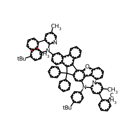 Cc1cnc(N(c2ccc(C(C)(C)C)cc2)c2ccc3c4c(c5ccccc5c3c2)-c2c(cc(N(c3ccc(C(C)(C)C)cc3)c3cc(-c5ccccc5C)c(C)cn3)c3c2oc2ccccc23)C4(c2ccccc2)c2ccccc2)c(-c2ccccc2C)c1